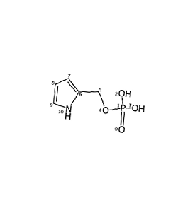 O=P(O)(O)OCc1ccc[nH]1